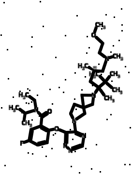 CCN(C(=O)c1cc(F)ccc1Oc1nncnc1N1CCC2(C1)CN(C(C)(C[C@@H](C)CN(C)CCOC)C(C)(C)C)C2)C(C)C